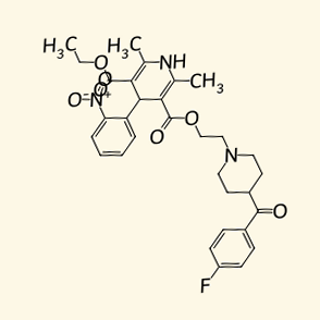 CCOC(=O)C1=C(C)NC(C)=C(C(=O)OCCN2CCC(C(=O)c3ccc(F)cc3)CC2)C1c1ccccc1[N+](=O)[O-]